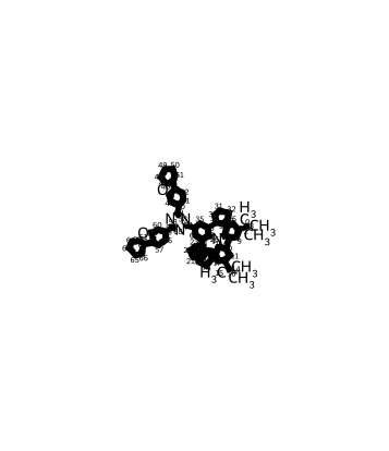 CC(C)(C)c1ccc2c(c1)c1cc(C(C)(C)C)cc(-c3ccccc3)c1n2-c1c(-c2ccccc2)cc(-c2nc(-c3ccc4c(c3)oc3ccccc34)nc(-c3ccc4c(c3)oc3ccccc34)n2)cc1-c1ccccc1